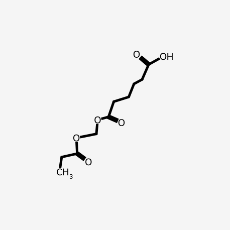 CCC(=O)OCOC(=O)CCCCC(=O)O